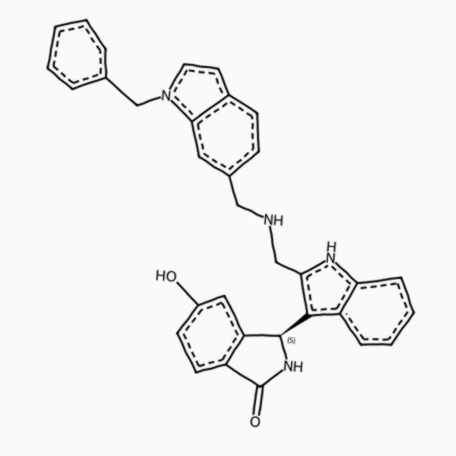 O=C1N[C@H](c2c(CNCc3ccc4ccn(Cc5ccccc5)c4c3)[nH]c3ccccc23)c2cc(O)ccc21